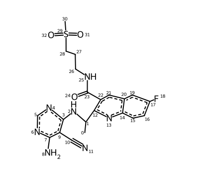 CC(Nc1ncnc(N)c1C#N)c1nc2ccc(F)cc2cc1C(=O)NCCCS(C)(=O)=O